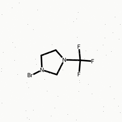 FC(F)(F)N1CCN(Br)C1